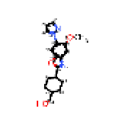 COc1cc2nc(C3CCC(CO)CC3)oc2cc1-n1cccn1